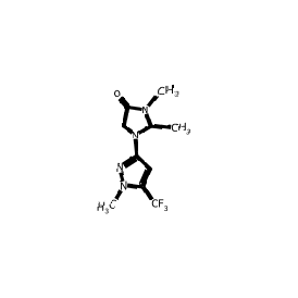 CC1N(C)C(=O)CN1c1cc(C(F)(F)F)n(C)n1